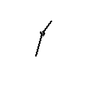 CCCCCCCCCCCCCCCCN1C=CN(CCCCCCCCCC)C1CC